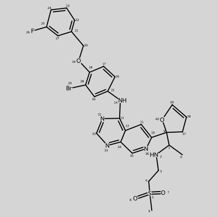 CC(NCCS(C)(=O)=O)C1(c2cc3c(Nc4ccc(OCc5cccc(F)c5)c(Br)c4)ncnc3cn2)CC=CO1